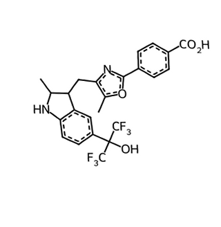 Cc1oc(-c2ccc(C(=O)O)cc2)nc1CC1c2cc(C(O)(C(F)(F)F)C(F)(F)F)ccc2NC1C